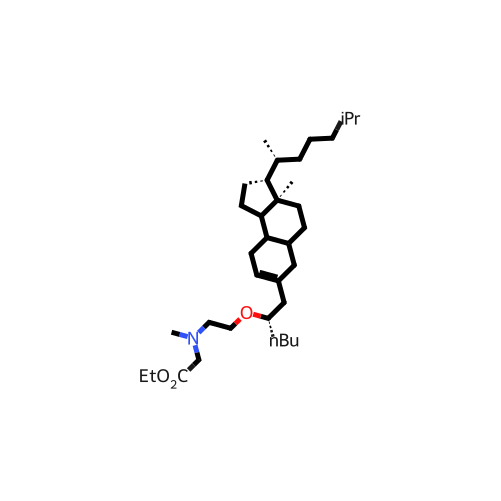 CCCC[C@@H](CC1=CCC2C(CC[C@@]3(C)C2CC[C@@H]3[C@H](C)CCCC(C)C)C1)OCCN(C)CC(=O)OCC